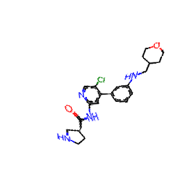 O=C(Nc1cc(-c2cccc(NCC3CCOCC3)c2)c(Cl)cn1)[C@H]1CCNC1